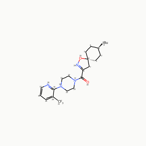 CC(C)(C)[C@H]1CC[C@]2(CC1)CC(C(=O)N1CCN(c3ncccc3C(F)(F)F)CC1)=NO2